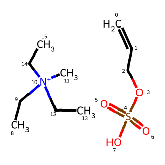 C=CCOS(=O)(=O)O.CC[N+](C)(CC)CC